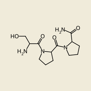 NC(=O)C1CCCN1C(=O)C1CCCN1C(=O)C(N)CO